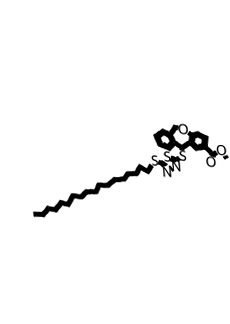 CCCCCCCCCCCCCCCCCCSc1nnc(SC2c3ccccc3COc3ccc(C(=O)OC)cc32)s1